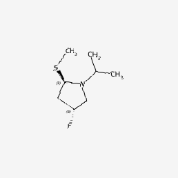 CS[C@@H]1C[C@@H](F)CN1C(C)C